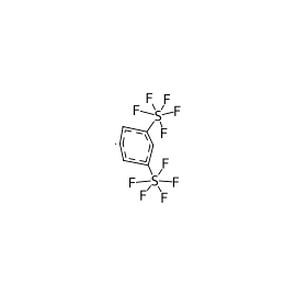 FS(F)(F)(F)(F)c1c[c]cc(S(F)(F)(F)(F)F)c1